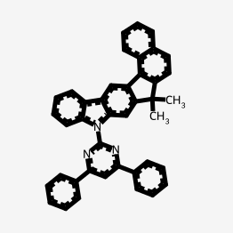 CC1(C)c2cc3c(cc2-c2c1ccc1ccccc21)c1ccccc1n3-c1nc(-c2ccccc2)cc(-c2ccccc2)n1